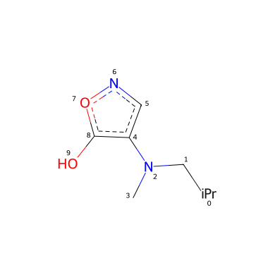 CC(C)CN(C)c1cnoc1O